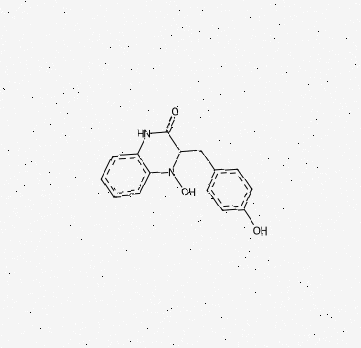 O=C1Nc2ccccc2N(O)C1Cc1ccc(O)cc1